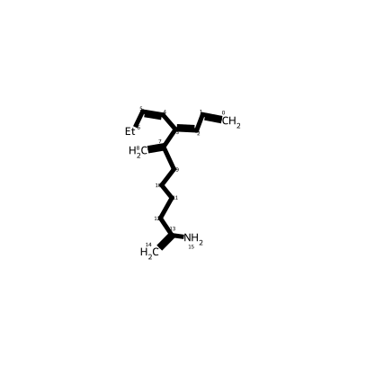 C=C/C=C(\C=C/CC)C(=C)CCCCC(=C)N